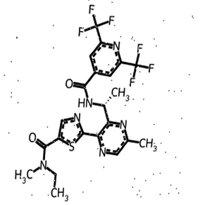 CCN(C)C(=O)c1cnc(-c2ncc(C)nc2[C@@H](C)NC(=O)c2cc(C(F)(F)F)nc(C(F)(F)F)c2)s1